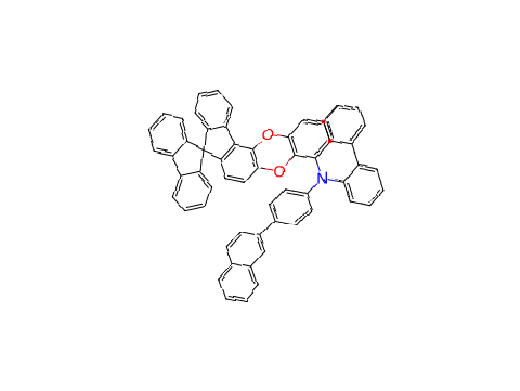 c1ccc(-c2ccccc2N(c2ccc(-c3ccc4ccccc4c3)cc2)c2cccc3c2Oc2ccc4c(c2O3)-c2ccccc2C42c3ccccc3-c3ccccc32)cc1